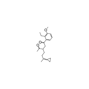 CCc1c(OC)cccc1C(=O)CC(CCC(C)=C1CC1)C(C)=O